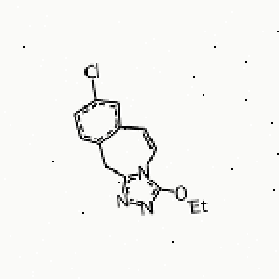 CCOc1nnc2n1C=Cc1cc(Cl)ccc1C2